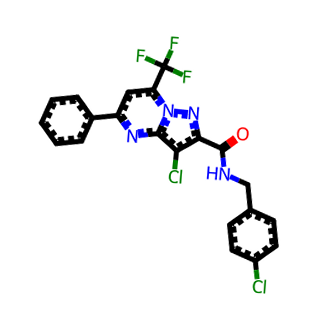 O=C(NCc1ccc(Cl)cc1)c1nn2c(C(F)(F)F)cc(-c3ccccc3)nc2c1Cl